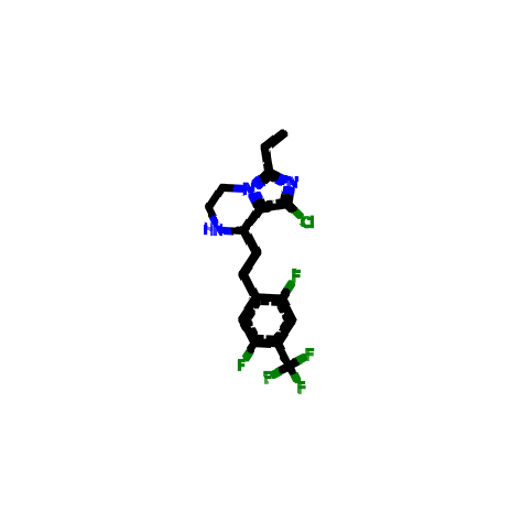 CCc1nc(Cl)c2n1CCNC2CCc1cc(F)c(C(F)(F)F)cc1F